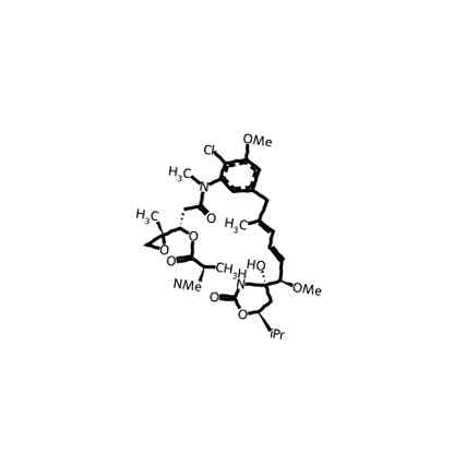 CN[C@H](C)C(=O)O[C@@H](CC(=O)N(C)c1cc(C/C(C)=C/C=C/[C@@H](OC)[C@@]2(O)C[C@@H](C(C)C)OC(=O)N2)cc(OC)c1Cl)[C@@]1(C)CO1